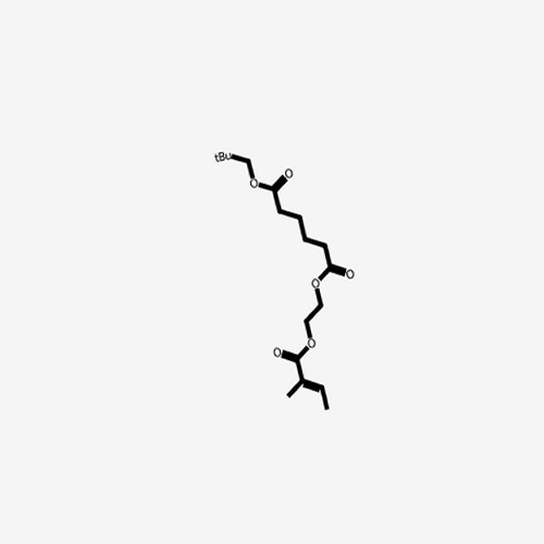 CC=C(C)C(=O)OCCOC(=O)CCCCC(=O)OCC(C)(C)C